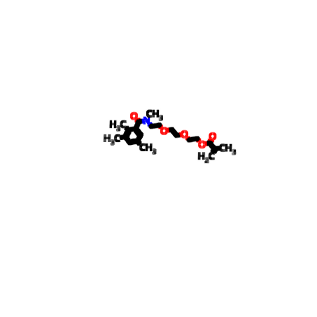 C=C(C)C(=O)OCCOCCOCCN(C)C(=O)c1cc(C)cc(C)c1C